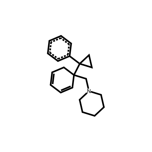 C1=CCC(CN2CCCCC2)(C2(c3ccccc3)CC2)C=C1